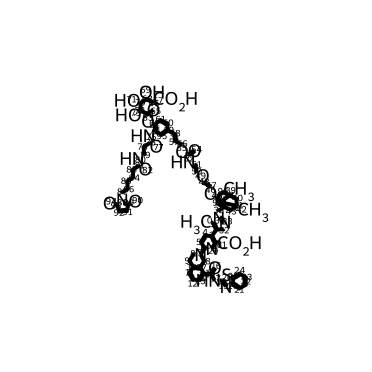 Cc1c(-c2ccc(N3CCc4cccc(C(=O)Nc5nc6ccccc6s5)c4C3)nc2C(=O)O)cnn1CC12CC3(C)CC(C)(C1)CC(OCCOCCNC(=O)OC/C=C/c1ccc(O[C@@H]4O[C@H](C(=O)O)[C@@H](O)[C@H](O)[C@H]4O)c(NC(=O)CCNC(=O)CCCCCN4C(=O)C=CC4=O)c1)(C3)C2